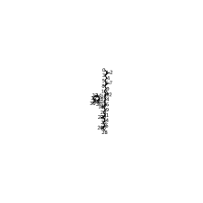 CC(C)=CCC/C(C)=C/CC/C(C)=C/CC/C=C(\C)CC/C=C(\C)CCC=C(C)C.Cc1ccccc1C